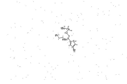 CC(C)CCNC(CO[Si](C)(C)C(C)(C)C)c1cc(Br)cs1